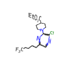 CCOC(=O)C1CCN(c2nc(CCCCC(F)(F)F)cnc2Cl)CC1